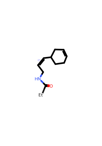 CCC(=O)NC/C=C\C1CC=CCC1